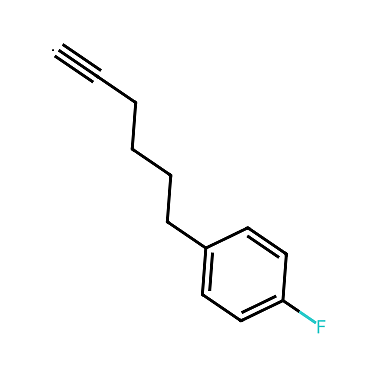 [C]#CCCCCc1ccc(F)cc1